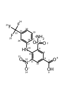 NS(=O)(=O)c1cc(C(=O)O)cc([N+](=O)[O-])c1Nc1cccc(C(F)(F)F)c1